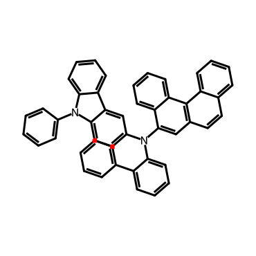 c1ccc(-c2ccccc2N(c2ccc3c(c2)c2ccccc2n3-c2ccccc2)c2cc3ccc4ccccc4c3c3ccccc23)cc1